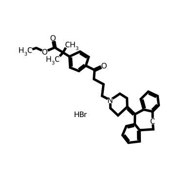 Br.CCOC(=O)C(C)(C)c1ccc(C(=O)CCCN2CCC(=C3c4ccccc4CCc4ccccc43)CC2)cc1